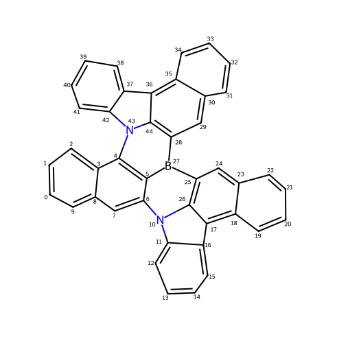 c1ccc2c3c4c(cc2c1)-n1c2ccccc2c2c5ccccc5cc(c21)B4c1cc2ccccc2c2c4ccccc4n-3c12